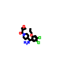 C=CCOc1cc(Cl)c(Cl)cc1C(N)C1CCN(C(=O)C2COC2)CC1